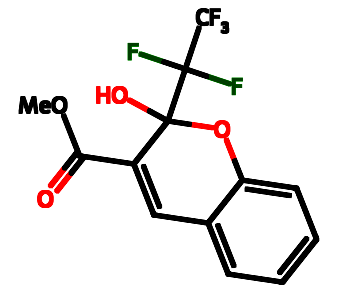 COC(=O)C1=Cc2ccccc2OC1(O)C(F)(F)C(F)(F)F